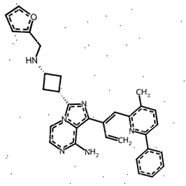 C=C/C(=C\c1nc(-c2ccccc2)ccc1C)c1nc([C@H]2C[C@@H](NCc3ccco3)C2)n2ccnc(N)c12